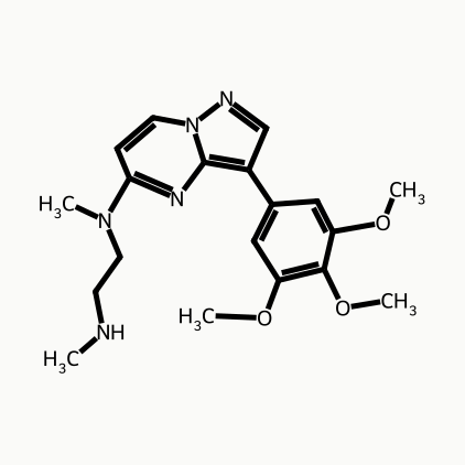 CNCCN(C)c1ccn2ncc(-c3cc(OC)c(OC)c(OC)c3)c2n1